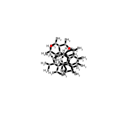 BBB(B)B(B(B(B)B)B(B)B)[Si](CN)(O[Si](CN)(B(B(B)B(B)B)B(B(B)B)B(B)B)B(B(BB)B(B)B)B(B(B)B)B(B)B)B(B(B)B)B(B(B)B)B(B)B